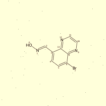 ON=Cc1ccc(Br)c2nccnc12